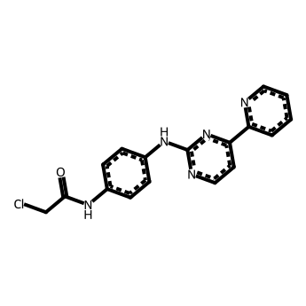 O=C(CCl)Nc1ccc(Nc2nccc(-c3ccccn3)n2)cc1